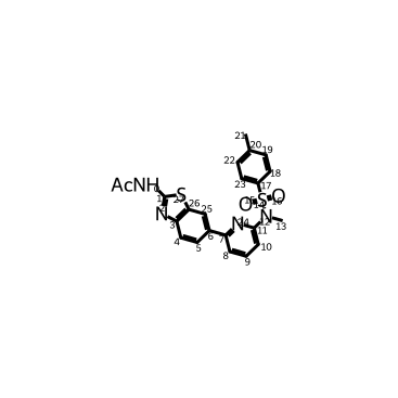 CC(=O)Nc1nc2ccc(-c3cccc(N(C)S(=O)(=O)c4ccc(C)cc4)n3)cc2s1